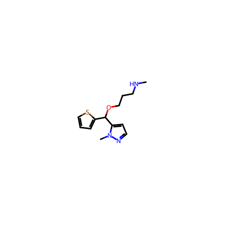 CNCCCOC(c1cccs1)c1ccnn1C